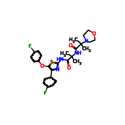 CC(C)(NC(=O)C(C)(C)N1CCOCC1)C(=O)Nc1nc(-c2ccc(F)cc2)c(Oc2ccc(F)cc2)s1